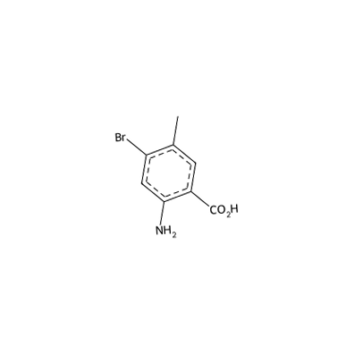 Cc1cc(C(=O)O)c(N)cc1Br